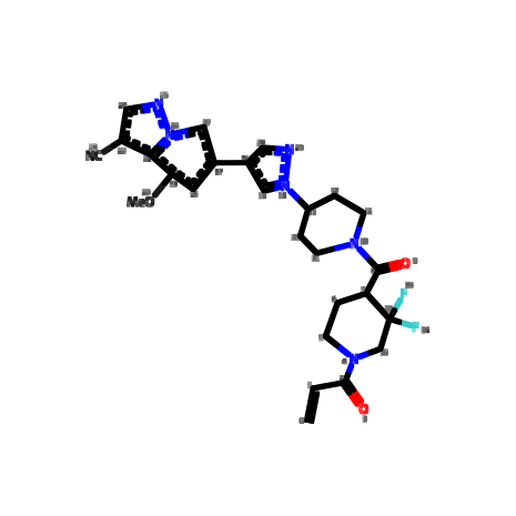 C=CC(=O)N1CCC(C(=O)N2CCC(n3cc(-c4cc(OC)c5c(C#N)cnn5c4)cn3)CC2)C(F)(F)C1